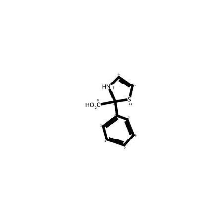 O=C(O)C1(c2ccccc2)NC=CS1